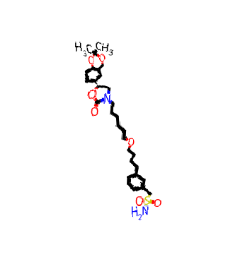 CC1(C)OCc2cc([C@@H]3CN(CCCCCCOCCCCc4cccc(CS(N)(=O)=O)c4)C(=O)O3)ccc2O1